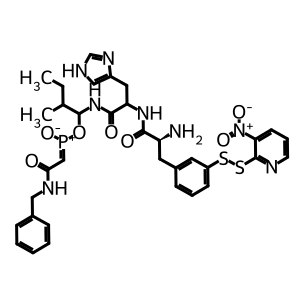 CCC(C)C(NC(=O)C(Cc1c[nH]cn1)NC(=O)[C@@H](N)Cc1cccc(SSc2ncccc2[N+](=O)[O-])c1)O/[P+]([O-])=C/C(=O)NCc1ccccc1